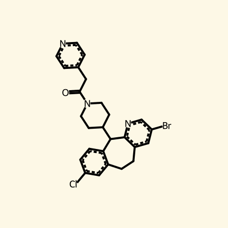 O=C(Cc1ccncc1)N1CCC(C2c3ccc(Cl)cc3CCc3cc(Br)cnc32)CC1